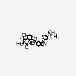 CN(C)c1csc(-n2ncc3ccc(S(=O)(=O)c4ccc(Cl)c5c(=O)n(O)c(=O)[nH]c45)cc32)c1